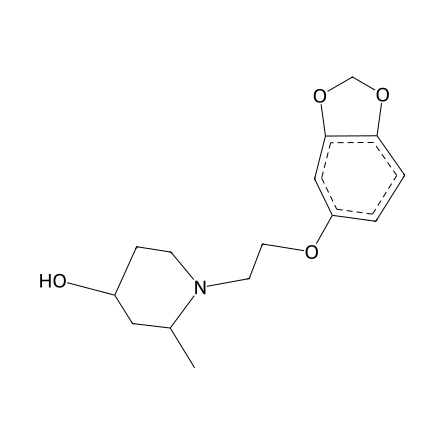 CC1CC(O)CCN1CCOc1ccc2c(c1)OCO2